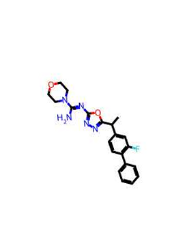 CC(c1ccc(-c2ccccc2)c(F)c1)c1nnc(/N=C(\N)N2CCOCC2)o1